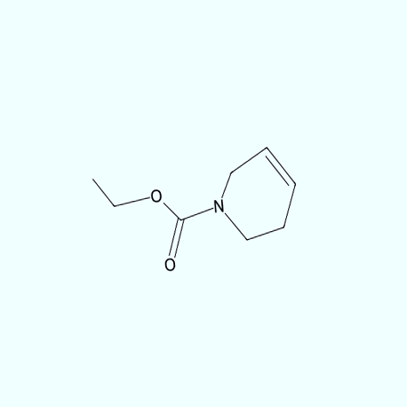 CCOC(=O)N1CC=CCC1